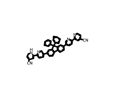 N#CC1=CCNC(c2ccc(-c3ccc4c(c3)C(c3ccccc3)(c3ccccc3)c3cc(-c5ccc(-c6cc(C#N)ccn6)nc5)ccc3-4)cn2)=C1